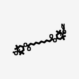 CON1C(C)(C)CC(OC(=O)CCCCCCCCC(=O)OC2CC(C)(C)N(OC#N)C(C)(C)C2)CC1(C)C